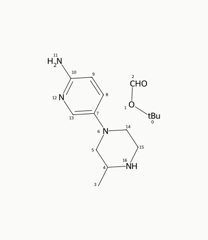 CC(C)(C)OC=O.CC1CN(c2ccc(N)nc2)CCN1